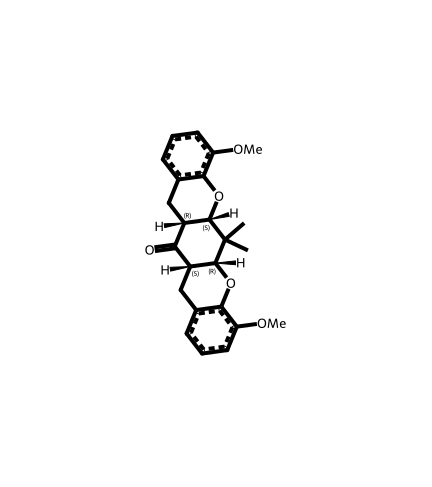 COc1cccc2c1O[C@@H]1[C@H](C2)C(=O)[C@@H]2Cc3cccc(OC)c3O[C@@H]2C1(C)C